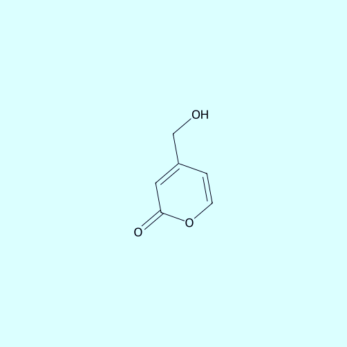 O=c1cc(CO)cco1